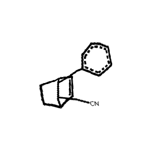 N#CC1C2C=CC(CC2)C1c1ccccc1